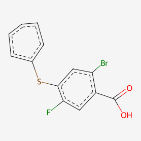 O=C(O)c1cc(F)c(Sc2ccccc2)cc1Br